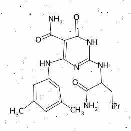 Cc1cc(C)cc(Nc2nc(NC(CC(C)C)C(N)=O)[nH]c(=O)c2C(N)=O)c1